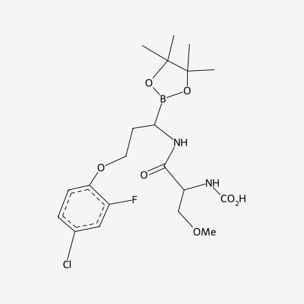 COCC(NC(=O)O)C(=O)NC(CCOc1ccc(Cl)cc1F)B1OC(C)(C)C(C)(C)O1